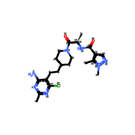 Cc1nc(N)c(CCC2CCN(C(=O)[C@H](C)NC(=O)c3cnn(C)c3C)CC2)c(Cl)n1